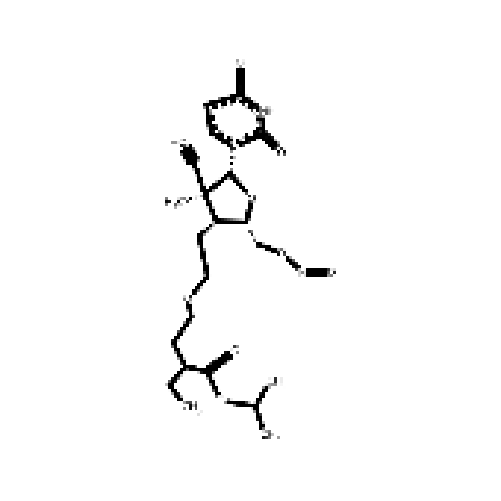 C#C[C@]1(C)[C@H](CCOCCC(CC)C(=O)OC(C)C)[C@@H](COP=O)O[C@H]1n1ccc(=O)[nH]c1=O